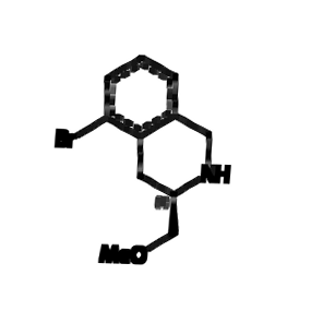 COC[C@H]1Cc2c(Br)cccc2CN1